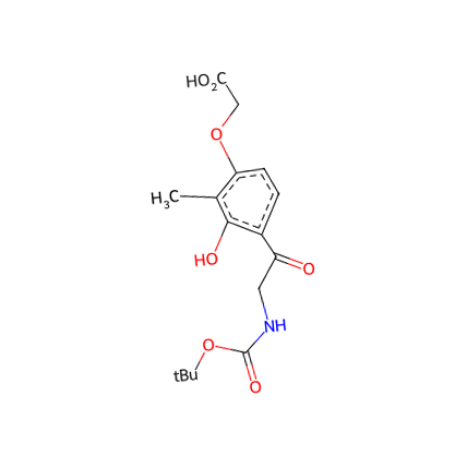 Cc1c(OCC(=O)O)ccc(C(=O)CNC(=O)OC(C)(C)C)c1O